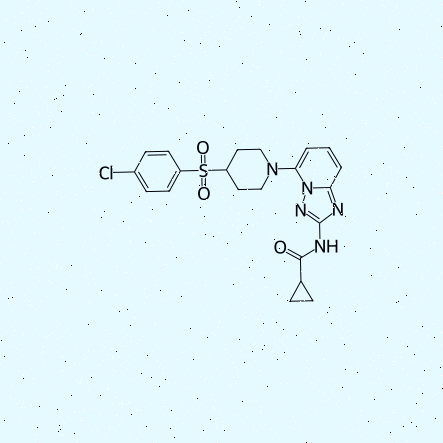 O=C(Nc1nc2cccc(N3CCC(S(=O)(=O)c4ccc(Cl)cc4)CC3)n2n1)C1CC1